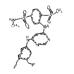 CNS(=O)(=O)c1ccc(S(C)(=O)=O)c(Nc2cc(Nc3ccc(F)c(F)c3)ncn2)c1